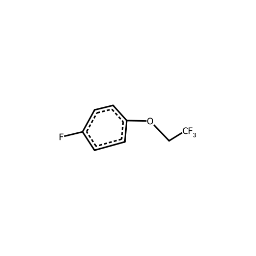 Fc1ccc(OCC(F)(F)F)cc1